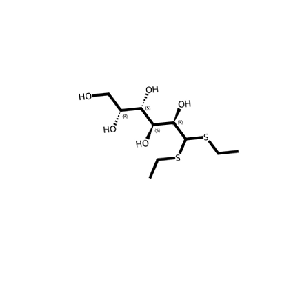 CCSC(SCC)[C@H](O)[C@@H](O)[C@@H](O)[C@H](O)CO